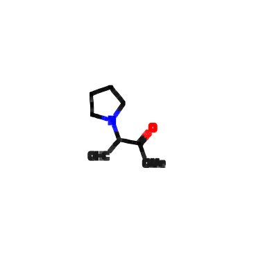 COC(=O)C(C=O)N1CCCC1